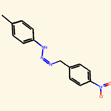 Cc1ccc(N/N=N\Cc2ccc([N+](=O)[O-])cc2)cc1